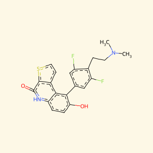 CN(C)CCc1c(F)cc(-c2c(O)ccc3[nH]c(=O)c4sccc4c23)cc1F